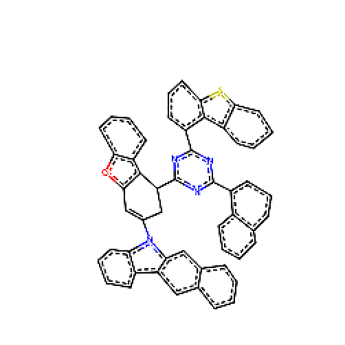 C1=C(n2c3ccccc3c3cc4ccccc4cc32)CC(c2nc(-c3cccc4ccccc34)nc(-c3cccc4sc5ccccc5c34)n2)c2c1oc1ccccc21